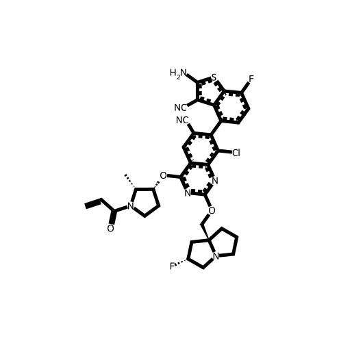 C=CC(=O)N1CC[C@@H](Oc2nc(OC[C@@]34CCCN3C[C@H](F)C4)nc3c(Cl)c(-c4ccc(F)c5sc(N)c(C#N)c45)c(C#N)cc23)[C@H]1C